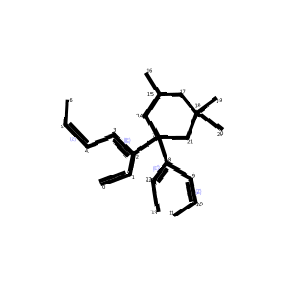 C=C/C(=C\C=C/C)C1(C(/C=C\C)=C/C)CC(C)CC(C)(C)C1